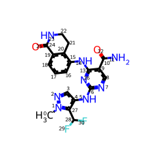 Cn1ncc(Nc2ncc(C(N)=O)c(Nc3cccc4c3CCNC4=O)n2)c1C(F)F